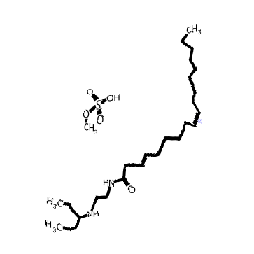 CCCCCCCC/C=C\CCCCCCCC(=O)NCCNC(CC)CC.COS(=O)(=O)O